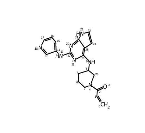 C=CC(=O)N1CCCC(Nc2nc(Nc3cccnc3)nc3[nH]ccc23)C1